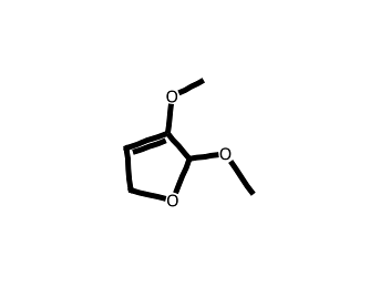 COC1=CCOC1OC